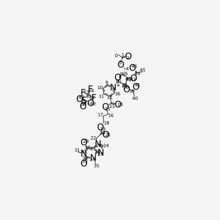 CC(=O)OC[C@H]1O[C@@H]([n+]2cccc(C(=O)OCCCOC(=O)Cn3cnc4c3c(=O)n(C)c(=O)n4C)c2)[C@H](OC(C)=O)[C@@H]1OC(C)=O.O=S(=O)([O-])C(F)(F)F